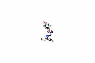 CC(C)NCc1ncc(-c2ccc(Br)cc2)o1